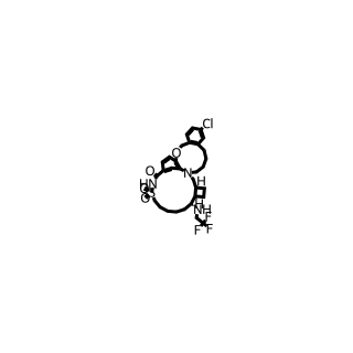 O=C1NS(=O)(=O)CCCCC[C@@H](NCC(F)(F)F)[C@@H]2CC[C@H]2CN2CCCCc3cc(Cl)ccc3COc3ccc1cc32